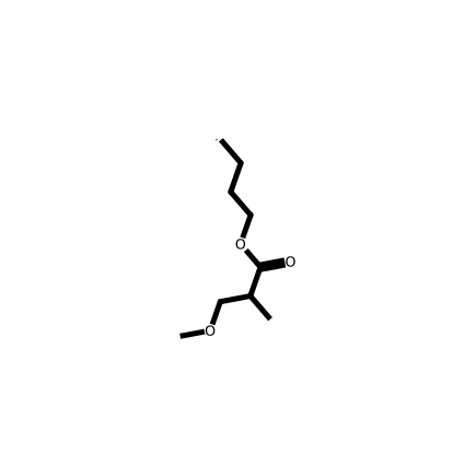 [CH2]CCCOC(=O)C(C)COC